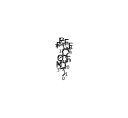 C=Cc1cnc(Oc2ccc(F)c(C(F)(F)F)c2)c(F)c1